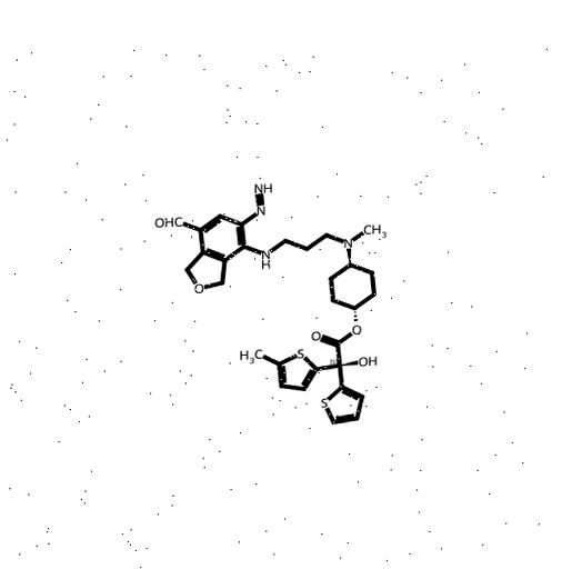 Cc1ccc([C@](O)(C(=O)O[C@H]2CC[C@H](N(C)CCCNc3c(N=N)cc(C=O)c4c3COC4)CC2)c2cccs2)s1